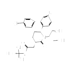 CC[C@@H](CO)N1C(=O)[C@@H](CC(=O)OC(C)(C)C)C[C@H](c2cccc(Cl)c2)[C@H]1c1ccc(Cl)cc1